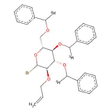 [2H]C(OC[C@H]1OC(Br)[C@H](OCC=C)[C@@H](OC([2H])c2ccccc2)[C@@H]1OC([2H])c1ccccc1)c1ccccc1